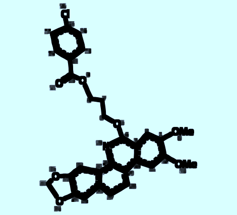 COc1cc2c(OCCCOC(=O)c3ccc(Cl)cc3)nc3c4cc5c(cc4ccc3c2cc1OC)OCO5